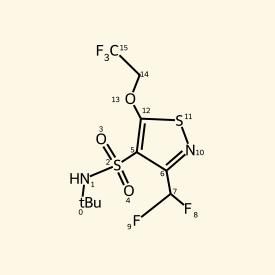 CC(C)(C)NS(=O)(=O)c1c(C(F)F)nsc1OCC(F)(F)F